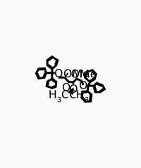 CO[C@H](COC(c1ccccc1)(c1ccccc1)c1ccccc1)[C@H]1OC(C)(C)O[C@@H]1[C@@H](COC(c1ccccc1)(c1ccccc1)c1ccccc1)OC